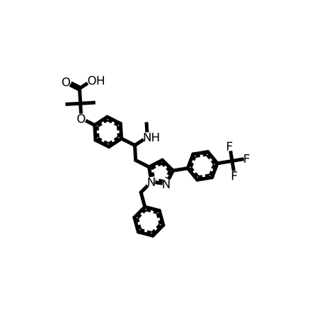 CNC(Cc1cc(-c2ccc(C(F)(F)F)cc2)nn1Cc1ccccc1)c1ccc(OC(C)(C)C(=O)O)cc1